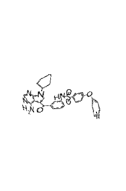 Nc1ncnc2c1c(C(=O)c1cccc(NS(=O)(=O)c3ccc(Oc4ccncc4)cc3)c1)cn2C1CCCC1